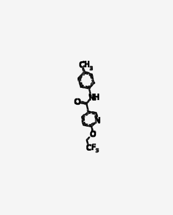 Cc1ccc(NC(=O)c2ccc(OCC(F)(F)F)nc2)cc1